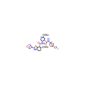 COc1cc(C(=O)NC23CCC(C(F)(F)F)(CC2)OC3)c(NC(=O)c2c(OC)ccc3nc(N4C5COCC4C5)sc23)cn1